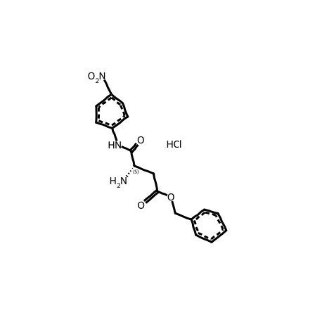 Cl.N[C@@H](CC(=O)OCc1ccccc1)C(=O)Nc1ccc([N+](=O)[O-])cc1